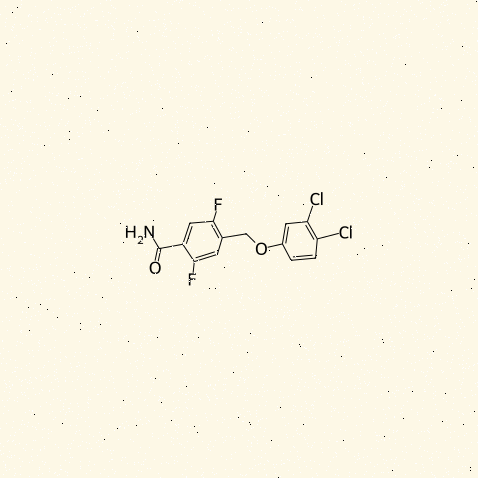 NC(=O)c1cc(F)c(COc2ccc(Cl)c(Cl)c2)cc1F